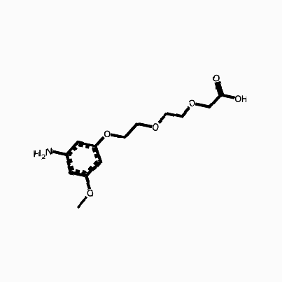 COc1cc(N)cc(OCCOCCOCC(=O)O)c1